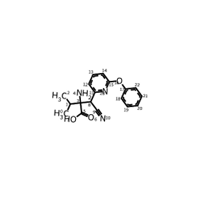 CC(C)C(N)(C(=O)O)C(C#N)c1cccc(Oc2ccccc2)n1